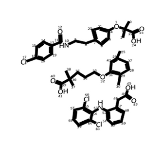 CC(C)(Oc1ccc(CCNC(=O)c2ccc(Cl)cc2)cc1)C(=O)O.Cc1ccc(C)c(OCCCC(C)(C)C(=O)O)c1.O=C(O)Cc1ccccc1Nc1c(Cl)cccc1Cl